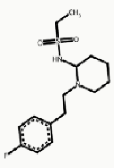 CCS(=O)(=O)NC1CCCCN1CCc1ccc(F)cc1